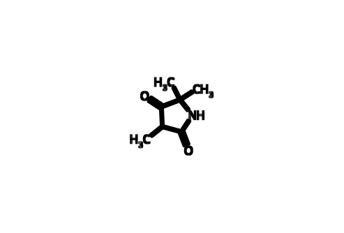 CC1C(=O)NC(C)(C)C1=O